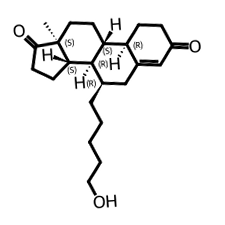 C[C@]12CC[C@H]3[C@@H]([C@H](CCCCCO)CC4=CC(=O)CC[C@@H]43)[C@@H]1CCC2=O